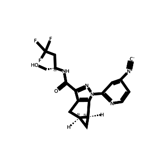 [C-]#[N+]c1ccnc(-n2nc(C(=O)N[C@H](CO)CC(F)(F)F)c3c2[C@H]2C[C@H]2C3)c1